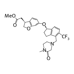 COC(=O)C[C@@H]1COc2cc(O[C@@H]3CCc4c3ccc(C(F)(F)F)c4CN3CCN(C)C(=O)C3)ccc21